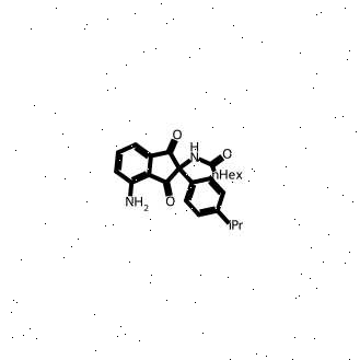 CCCCCCC(=O)NC1(c2[c]cc(C(C)C)cc2)C(=O)c2cccc(N)c2C1=O